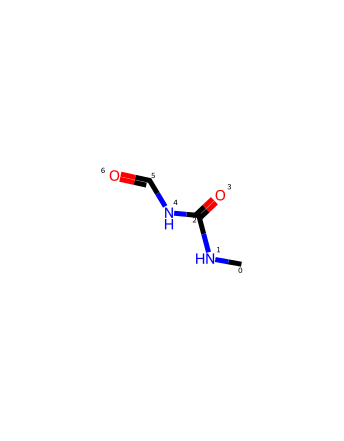 CNC(=O)NC=O